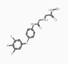 CC(C)NC(=O)CNCC(=O)Nc1ccc(Oc2cc(F)c(F)c(F)c2)cc1